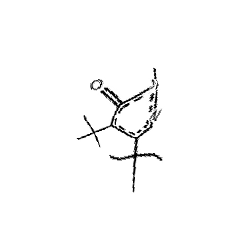 Cn1ncc(C(C)(C)C)c(C(C)(C)C)c1=O